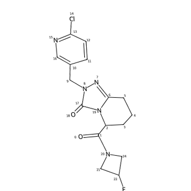 O=C(C1CCCc2nn(Cc3ccc(Cl)nc3)c(=O)n21)N1CC(F)C1